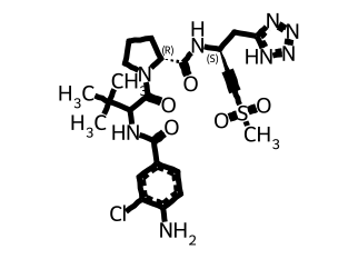 CC(C)(C)C(NC(=O)c1ccc(N)c(Cl)c1)C(=O)N1CCC[C@@H]1C(=O)N[C@H](C#CS(C)(=O)=O)Cc1nnn[nH]1